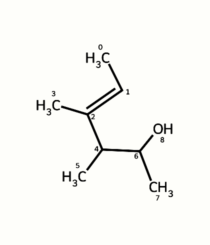 C/C=C(\C)C(C)C(C)O